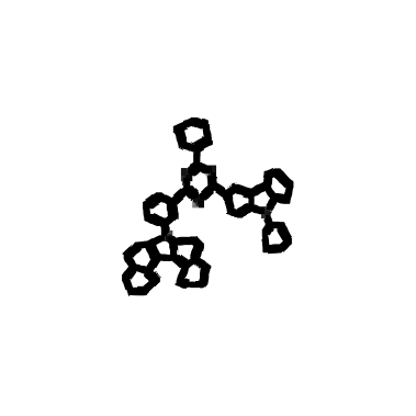 c1ccc(-c2nc(-c3cccc(-n4c5ccc6ccccc6c5c5c6ccccc6ccc54)c3)nc(-c3ccc4c(c3)c3ccccc3n4-c3ccccc3)n2)cc1